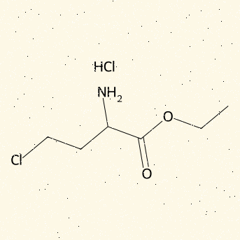 CCOC(=O)C(N)CCCl.Cl